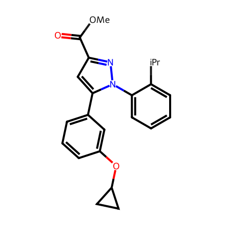 COC(=O)c1cc(-c2cccc(OC3CC3)c2)n(-c2ccccc2C(C)C)n1